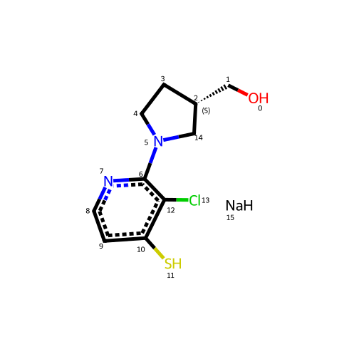 OC[C@H]1CCN(c2nccc(S)c2Cl)C1.[NaH]